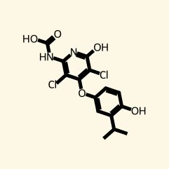 CC(C)c1cc(Oc2c(Cl)c(O)nc(NC(=O)O)c2Cl)ccc1O